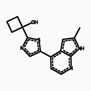 Cc1cc2c(-c3cnc(C4(O)CCC4)s3)ccnc2[nH]1